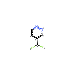 FC(F)c1c[c]nnc1